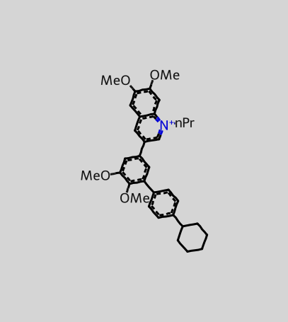 CCC[n+]1cc(-c2cc(OC)c(OC)c(-c3ccc(C4CCCCC4)cc3)c2)cc2cc(OC)c(OC)cc21